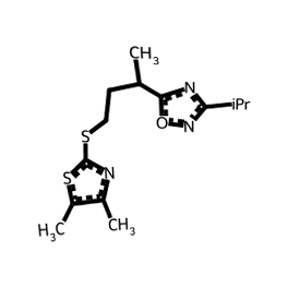 Cc1nc(SCCC(C)c2nc(C(C)C)no2)sc1C